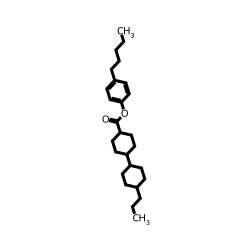 CCCCCc1ccc(OC(=O)C2CCC(C3CCC(CCC)CC3)CC2)cc1